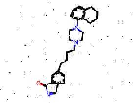 O=C1N=Cc2ccc(CCCCN3CCN(c4cccc5c4CCCC5)CC3)cc21